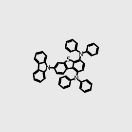 c1ccc(N(c2ccccc2)c2ccc(N(c3ccccc3)c3ccccc3)c3c2sc2cc(-n4c5ccccc5c5ccccc54)ccc23)cc1